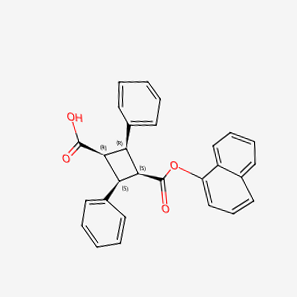 O=C(O)[C@H]1[C@@H](c2ccccc2)[C@@H](C(=O)Oc2cccc3ccccc23)[C@H]1c1ccccc1